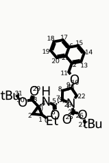 CCC1C[C@@]1(NC(=O)[C@@H]1C[C@@H](OCc2cccc3ccccc23)CN1C(=O)OC(C)(C)C)C(=O)OC(C)(C)C